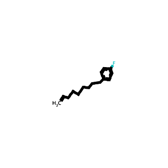 C=CCCCCCCCc1ccc(F)cc1